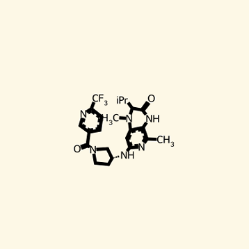 Cc1nc(N[C@@H]2CCN(C(=O)c3ccc(C(F)(F)F)nc3)C2)cc2c1NC(=O)C(C(C)C)N2C